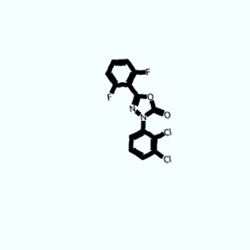 O=c1oc(-c2c(F)cccc2F)nn1-c1cccc(Cl)c1Cl